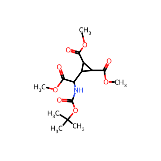 COC(=O)C(NC(=O)OC(C)(C)C)C1C(C(=O)OC)C1C(=O)OC